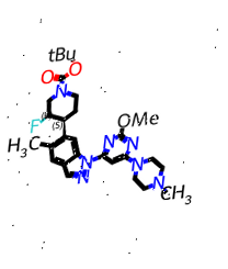 COc1nc(N2CCN(C)CC2)cc(-n2ncc3cc(C)c([C@@H]4CCN(C(=O)OC(C)(C)C)C[C@@H]4F)cc32)n1